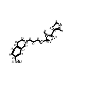 Cc1ncsc1-c1nnc(SCCCN2CCc3ccc(C(C)(C)C)cc3C2)n1C